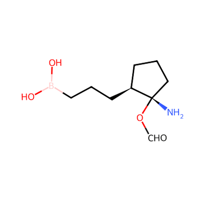 N[C@]1(OC=O)CCC[C@@H]1CCCB(O)O